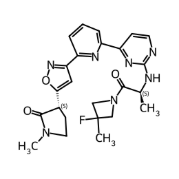 C[C@H](Nc1nccc(-c2cccc(-c3cc([C@@H]4CCN(C)C4=O)on3)n2)n1)C(=O)N1CC(C)(F)C1